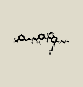 COCCOc1cc2ncnc(Nc3cccc(/C(N)=C/NCCc4cccc(C(F)(F)F)c4)c3)c2cc1OCCOC